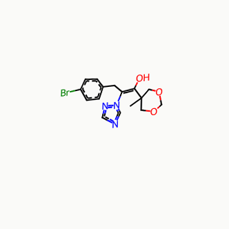 CC1(C(O)=C(Cc2ccc(Br)cc2)n2cncn2)COCOC1